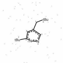 CC(C)(C)Cc1cnnc(C(C)(C)C)c1